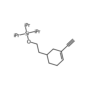 C#CC1=CCCC(CCO[Si](C(C)C)(C(C)C)C(C)C)C1